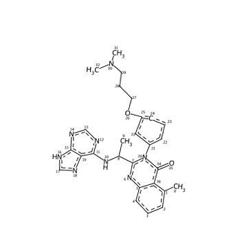 Cc1cccc2nc(C(C)Nc3ncnc4[nH]cnc34)n(-c3cccc(OCCCN(C)C)c3)c(=O)c12